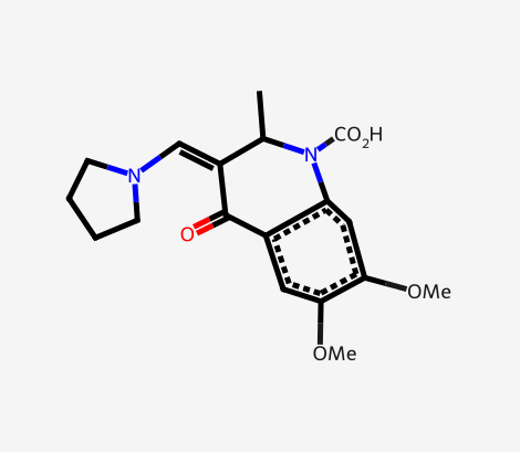 COc1cc2c(cc1OC)N(C(=O)O)C(C)C(=CN1CCCC1)C2=O